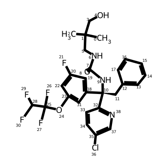 CC(C)(CO)CNC(=O)N[C@@](Cc1ccccc1)(c1cc(F)cc(OC(F)(F)C(F)F)c1)c1ccc(Cl)cn1